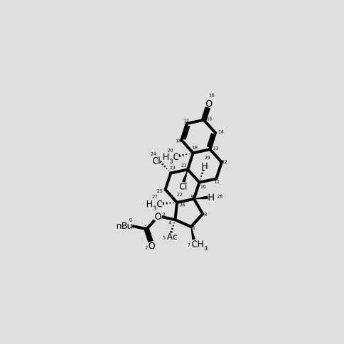 CCCCC(=O)O[C@]1(C(C)=O)[C@H](C)C[C@H]2[C@@H]3CCC4=CC(=O)C=C[C@]4(C)[C@@]3(Cl)[C@@H](Cl)C[C@@]21C